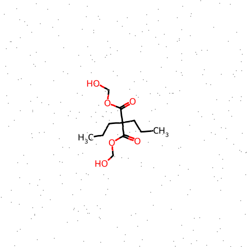 CCCC(CCC)(C(=O)OCO)C(=O)OCO